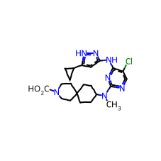 CN(c1ncc(Cl)c(Nc2cc(C3CC3)[nH]n2)n1)C1CCC2(CC1)CCN(C(=O)O)CC2